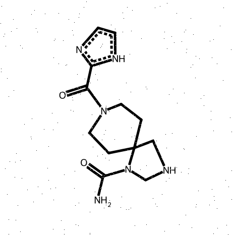 NC(=O)N1CNCC12CCN(C(=O)c1ncc[nH]1)CC2